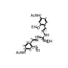 CCOc1cc(NC(C)=O)ccc1/C=N/NC(=N)N/N=C/c1ccc(NC(C)=O)cc1OCC.Cl